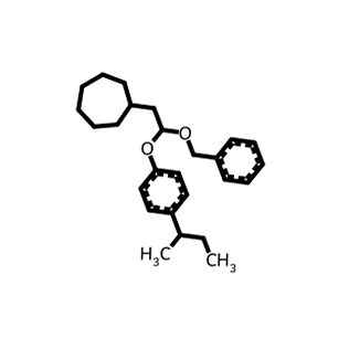 CCC(C)c1ccc(OC(CC2CCCCCC2)OCc2ccccc2)cc1